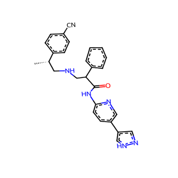 C[C@@H](CNCC(C(=O)Nc1ccc(-c2cn[nH]c2)cn1)c1ccccc1)c1ccc(C#N)cc1